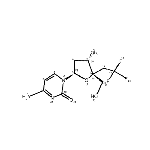 Nc1ccn([C@H]2C[C@H](O)[C@](CO)(CC(F)(F)F)O2)c(=O)n1